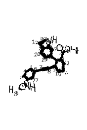 CNc1cccc(C#Cc2cccc(C(=O)O)c2-c2ccc3cc[nH]c3c2)c1